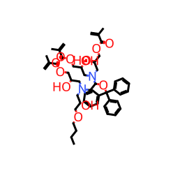 C=C(C)C(=O)OCC(O)CN(CC(O)COCCCC)CC(OC(c1ccccc1)(c1ccccc1)c1ccccc1)N(CC(O)COC(=O)C(=C)C)CC(O)COC(=O)C(=C)C